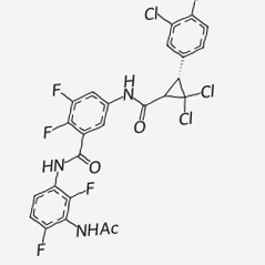 CC(=O)Nc1c(F)ccc(NC(=O)c2cc(NC(=O)C3[C@H](c4ccc(Cl)c(Cl)c4)C3(Cl)Cl)cc(F)c2F)c1F